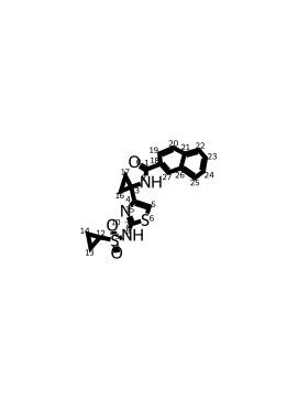 O=C(NC1(c2csc(NS(=O)(=O)C3CC3)n2)CC1)c1ccc2ccccc2c1